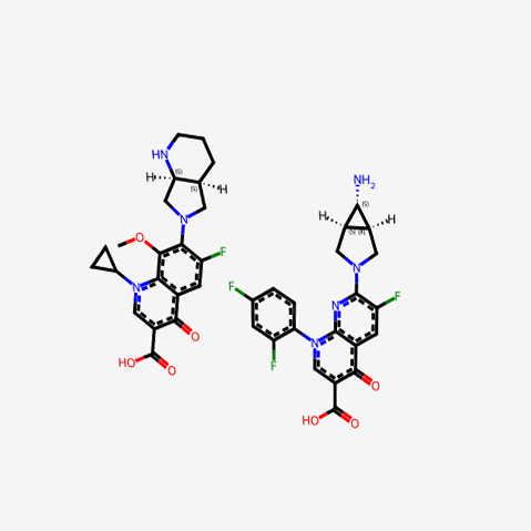 COc1c(N2C[C@@H]3CCCN[C@@H]3C2)c(F)cc2c(=O)c(C(=O)O)cn(C3CC3)c12.N[C@@H]1[C@H]2CN(c3nc4c(cc3F)c(=O)c(C(=O)O)cn4-c3ccc(F)cc3F)C[C@@H]12